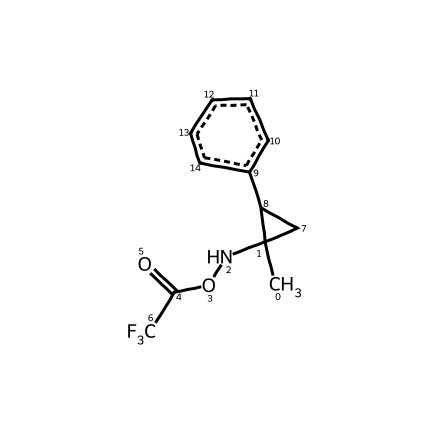 CC1(NOC(=O)C(F)(F)F)CC1c1ccccc1